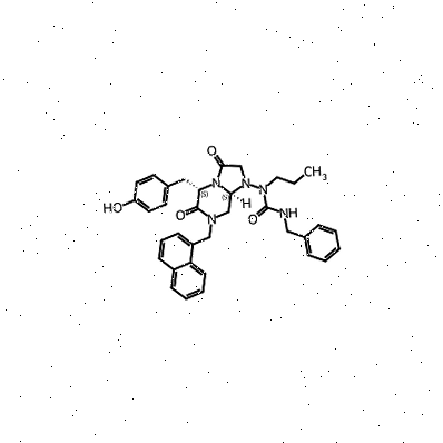 CCCN(C(=O)NCc1ccccc1)N1CC(=O)N2[C@@H](Cc3ccc(O)cc3)C(=O)N(Cc3cccc4ccccc34)C[C@@H]21